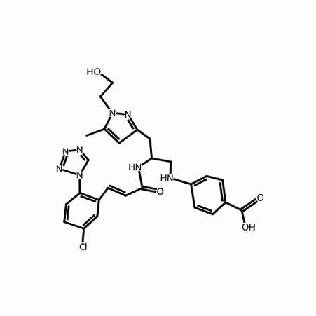 Cc1cc(CC(CNc2ccc(C(=O)O)cc2)NC(=O)/C=C/c2cc(Cl)ccc2-n2cnnn2)nn1CCO